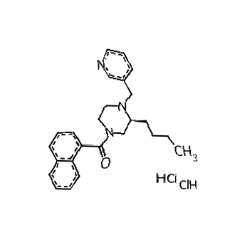 CCCC[C@H]1CN(C(=O)c2cccc3ccccc23)CCN1Cc1cccnc1.Cl.Cl